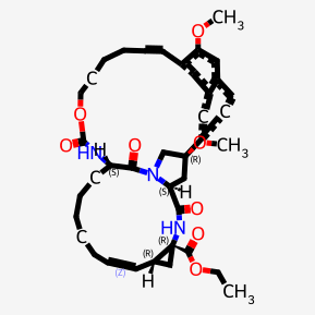 CCOC(=O)[C@@]12C[C@@H]1/C=C\CCCCC[C@@H]1NC(=O)OCCCCC=Cc3cc4cc(ccc4cc3OC)[C@]3(OC)C[C@@H](C(=O)N2)N(C3)C1=O